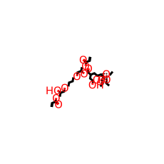 C=CC(=O)OCC(O)COCCCCOCC(COC(=O)C=C)OC(=O)C(CCC[Si](OCC)(OCC)OCC)CC(=O)O